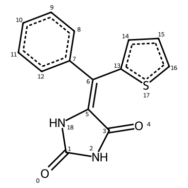 O=C1NC(=O)C(=C(c2ccccc2)c2cccs2)N1